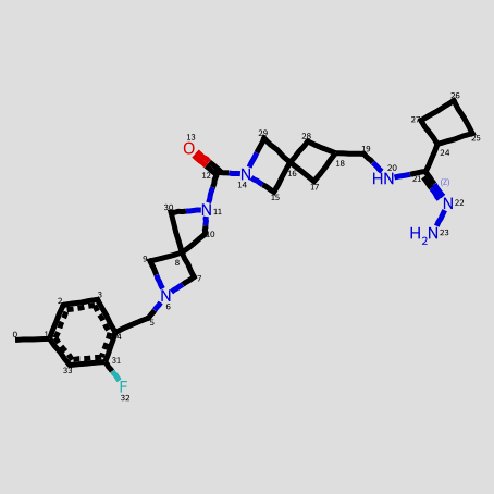 Cc1ccc(CN2CC3(C2)CN(C(=O)N2CC4(CC(CN/C(=N\N)C5CCC5)C4)C2)C3)c(F)c1